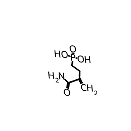 C=C(CCP(=O)(O)O)C(N)=O